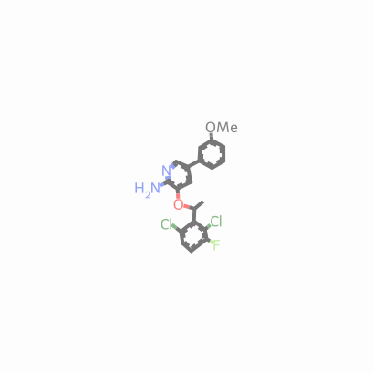 COc1cccc(-c2cnc(N)c(OC(C)c3c(Cl)ccc(F)c3Cl)c2)c1